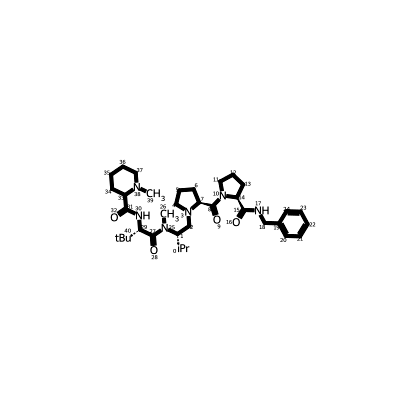 CC(C)[C@@H](CN1CCC[C@H]1C(=O)N1CCC[C@H]1C(=O)NCc1ccccc1)N(C)C(=O)[C@@H](NC(=O)C1CCCCN1C)C(C)(C)C